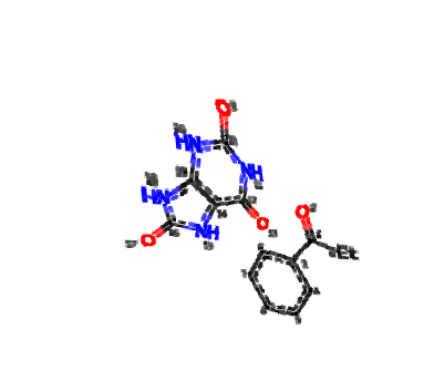 CCC(=O)c1ccccc1.O=c1[nH]c(=O)c2[nH]c(=O)[nH]c2[nH]1